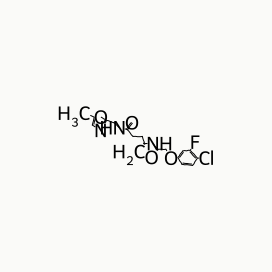 C=C(CCC(=O)NCc1ncc(C)o1)NC(=O)COc1ccc(Cl)c(F)c1